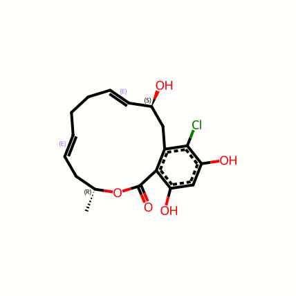 C[C@@H]1C/C=C/CC/C=C/[C@@H](O)Cc2c(Cl)c(O)cc(O)c2C(=O)O1